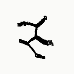 C=C(C(=O)CCC)C(=O)OC